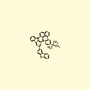 CC(C)(C)c1ccc(N2c3ccccc3B3c4ccccc4-c4cc(-c5ccc6sc7ccccc7c6c5)cc2c43)c(-c2ccccc2)c1